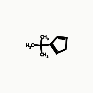 CC(C)(C)C1=[C]CC=C1